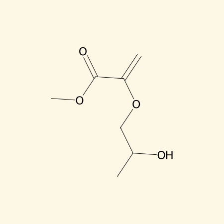 C=C(OCC(C)O)C(=O)OC